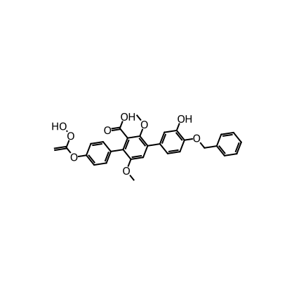 C=C(OO)Oc1ccc(-c2c(OC)cc(-c3ccc(OCc4ccccc4)c(O)c3)c(OC)c2C(=O)O)cc1